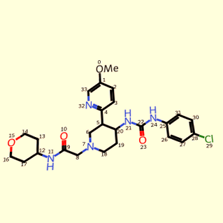 COc1ccc(C2CN(CC(=O)NC3CCOCC3)CCC2NC(=O)Nc2ccc(Cl)cc2)nc1